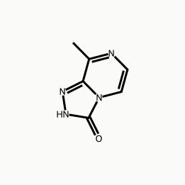 Cc1nccn2c(=O)[nH]nc12